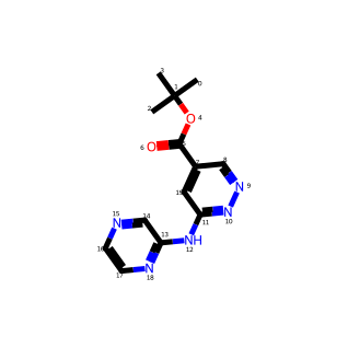 CC(C)(C)OC(=O)c1cnnc(Nc2cnccn2)c1